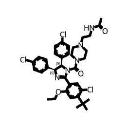 CCOc1cc(C(C)(C)C)c(Cl)cc1C1=N[C@@H](c2ccc(Cl)cc2)[C@@H](c2ccc(Cl)cc2)N1C(=O)N1CCN(CCNC(C)=O)CC1